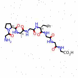 CC(C)C[C@H](NC(=O)CNC(=O)[C@H](C)NC(=O)[C@@H]1CCCN1C(=O)CN)C(=O)NCC(=O)NCC(=O)NCC(=O)O